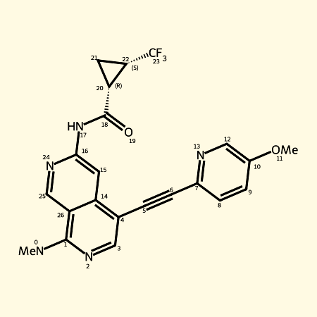 CNc1ncc(C#Cc2ccc(OC)cn2)c2cc(NC(=O)[C@@H]3C[C@@H]3C(F)(F)F)ncc12